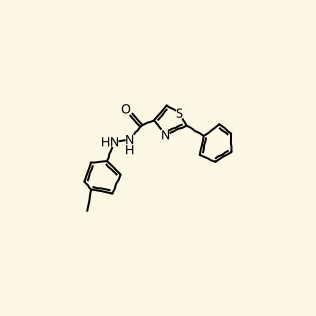 Cc1ccc(NNC(=O)c2csc(-c3ccccc3)n2)cc1